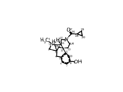 CN1CC23Cc4ccc(O)cc4[C@]4(CCN(C(=O)C5CC5)C[C@H]4[C@H]12)C3